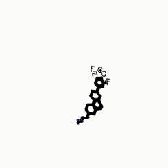 C/C=C/CCC1CCc2c(ccc3c2CCC(c2cc(F)c(OC(F)(F)F)c(F)c2)C3)C1